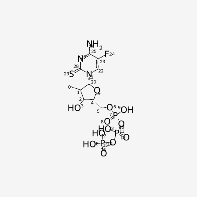 CC1C(O)[C@@H](COP(=O)(O)OP(=O)(O)OP(=O)(O)O)O[C@H]1n1cc(F)c(N)nc1=S